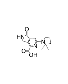 CC1(C)CCCN1c1cc2c(c(C(=O)O)n1)CNC2=O